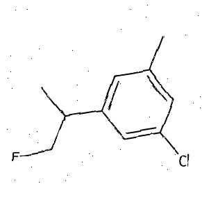 C[C](CF)c1cc(C)cc(Cl)c1